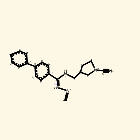 C=N/N=C(\NCC1CCN(C#N)C1)c1ccc(-c2ccccc2)cc1